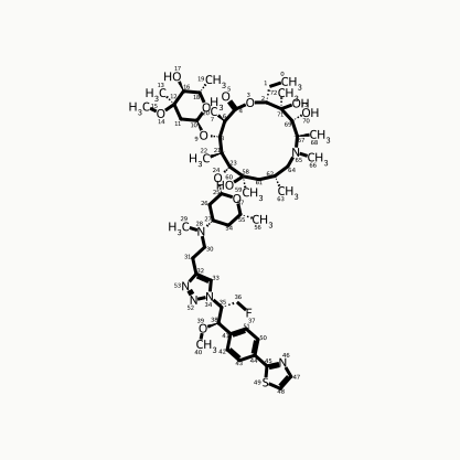 CC[C@H]1OC(=O)[C@H](C)[C@@H](O[C@H]2C[C@@](C)(OC)[C@@H](O)[C@H](C)O2)[C@H](C)[C@@H](O[C@H]2C[C@@H](N(C)CCc3cn([C@H](CF)[C@H](OC)c4ccc(-c5nccs5)cc4)nn3)C[C@@H](C)O2)[C@](C)(O)C[C@@H](C)CN(C)[C@H](C)[C@@H](O)[C@]1(C)O